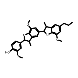 CCCc1cc(OC)c2c(c1)C(C)C(c1cc(OC)c3c(c1)C(C)C(c1ccc(O)c(OC)c1)O3)O2